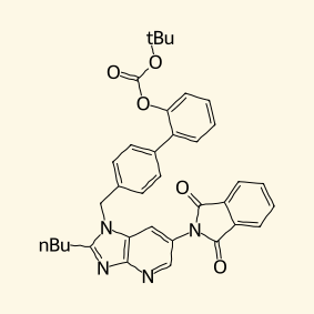 CCCCc1nc2ncc(N3C(=O)c4ccccc4C3=O)cc2n1Cc1ccc(-c2ccccc2OC(=O)OC(C)(C)C)cc1